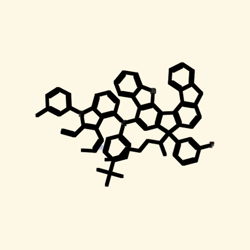 C=Cc1c(/C=C\C)c2c(N(c3ccc(C(C)(C)C)cc3)c3cc4c(c5oc6ccccc6c35)-c3c(ccc5c3-c3ccccc3C5)C4(c3cccc(F)c3)C(C)CCCCC)cccc2n1-c1cccc(C)c1